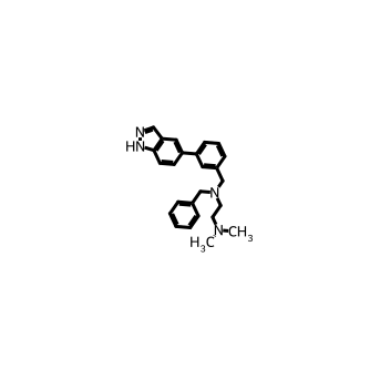 CN(C)CCN(Cc1ccccc1)Cc1cccc(-c2ccc3[nH]ncc3c2)c1